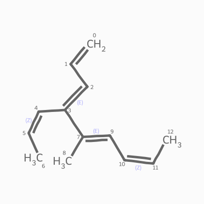 C=C/C=C(\C=C/C)C(/C)=C/C=C\C